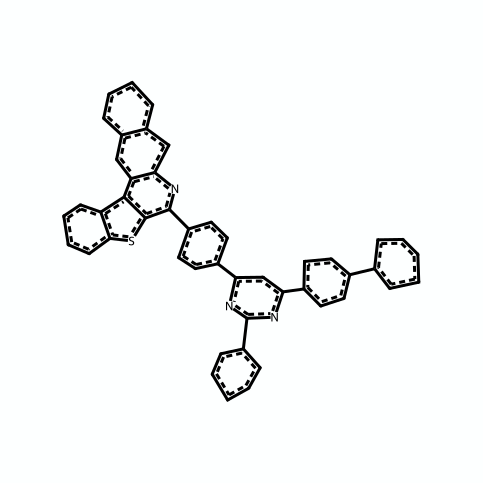 c1ccc(-c2ccc(-c3cc(-c4ccc(-c5nc6cc7ccccc7cc6c6c5sc5ccccc56)cc4)nc(-c4ccccc4)n3)cc2)cc1